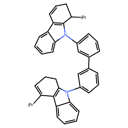 CC(C)C1=CCCc2c1c1ccccc1n2-c1cccc(-c2cccc(-n3c4c(c5ccccc53)C=CCC4C(C)C)c2)c1